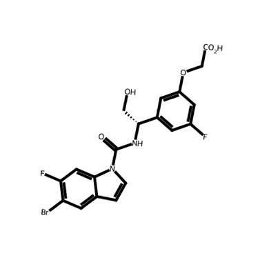 O=C(O)COc1cc(F)cc([C@@H](CO)NC(=O)n2ccc3cc(Br)c(F)cc32)c1